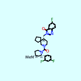 CN[C@@H]1CCN(C(=O)N2CC[C@@H](Cn3cnc4ccc(F)cc4c3=O)C3(CCCC3)C2)[C@H](c2ccc(F)cc2F)C1